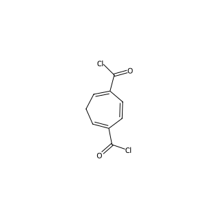 O=C(Cl)C1=CCC=C(C(=O)Cl)C=C1